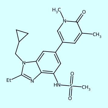 CCc1nc2c(NS(C)(=O)=O)cc(-c3cc(C)c(=O)n(C)c3)cc2n1CC1CC1